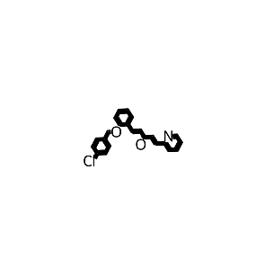 O=C(C=Cc1ccccn1)C=Cc1ccccc1OCc1ccc(Cl)cc1